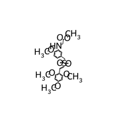 COC(=O)CNc1cc(CS(=O)(=O)C=Cc2c(OC)cc(OC)cc2OC)ccc1OC